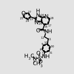 CN(C)S(=O)(=O)Nc1ccc(CCNC(=O)c2ccnc3[nH]c(-c4ccoc4)nc23)cc1